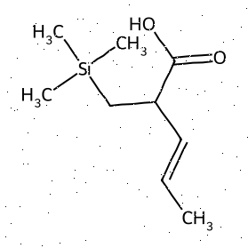 CC=CC(C[Si](C)(C)C)C(=O)O